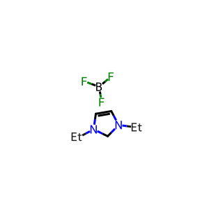 CCN1C=CN(CC)C1.FB(F)F